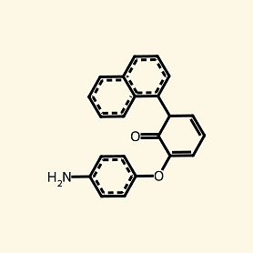 Nc1ccc(OC2=CC=CC(c3cccc4ccccc34)C2=O)cc1